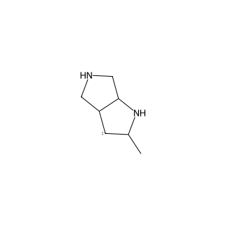 CC1[C]C2CNCC2N1